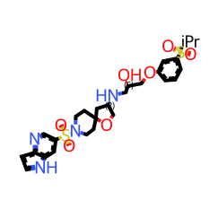 CC(C)S(=O)(=O)c1cccc(OC[C@@H](O)CN[C@H]2COC3(CCN(S(=O)(=O)c4cnc5cc[nH]c5c4)CC3)C2)c1